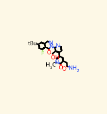 Cn1cc(-c2ccnc(-n3ncc4cc(C(C)(C)C)cc(F)c4c3=O)c2CO)cc(CC(N)=O)c1=O